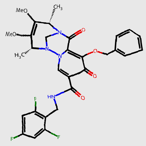 COC1=C(OC)[C@H](C)N2CN([C@@H]1C)n1cc(C(=O)NCc3c(F)cc(F)cc3F)c(=O)c(OCc3ccccc3)c1C2=O